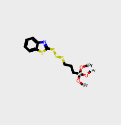 CC(C)O[Si](CCCSSSc1nc2ccccc2s1)(OC(C)C)OC(C)C